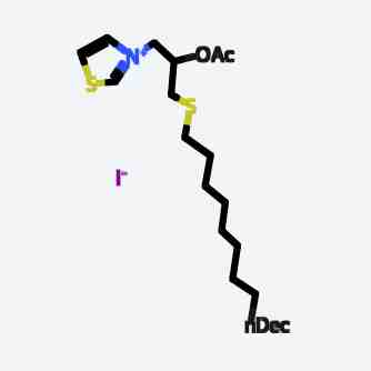 CCCCCCCCCCCCCCCCCCSCC(C[n+]1ccsc1)OC(C)=O.[I-]